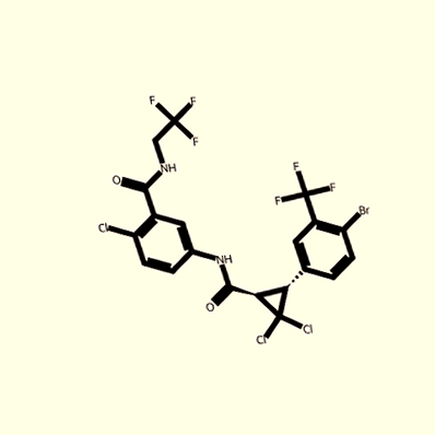 O=C(NCC(F)(F)F)c1cc(NC(=O)[C@H]2[C@H](c3ccc(Br)c(C(F)(F)F)c3)C2(Cl)Cl)ccc1Cl